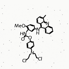 COc1ccc(Nc2c3ccccc3nc3c(C)cccc23)cc1NC(=O)Oc1ccc(N(CCCl)CCCl)cc1